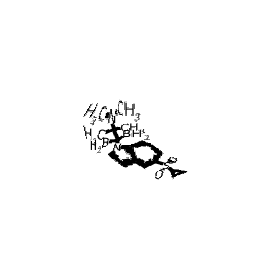 BC(B)(n1ccc2cc(S(=O)(=O)C3CC3)ccc21)C(C)(C)N(C)C